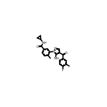 Cc1ccc(C(=O)NC2CC2)cc1-n1ncc(C(=O)c2ccc(F)c(F)c2)c1N